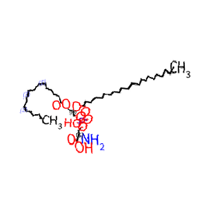 CCCCC/C=C\C/C=C\C/C=C\CCCCC(=O)OC[C@H](COP(=O)(O)OC[C@H](N)C(=O)O)OC(=O)CCCCCCCCCCCCCCCCCCCCC